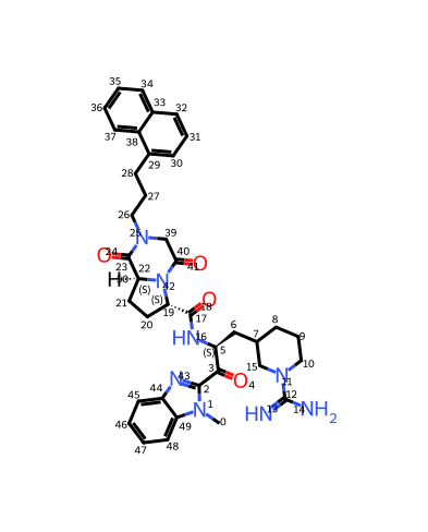 Cn1c(C(=O)[C@H](CC2CCCN(C(=N)N)C2)NC(=O)[C@@H]2CC[C@H]3C(=O)N(CCCc4cccc5ccccc45)CC(=O)N23)nc2ccccc21